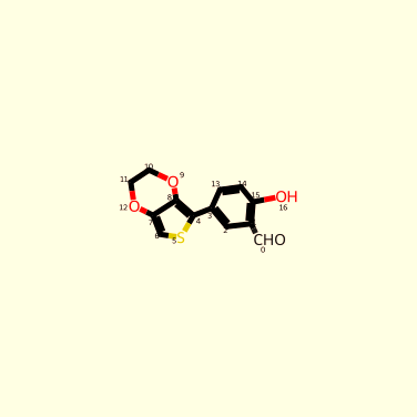 O=Cc1cc(-c2scc3c2OCCO3)ccc1O